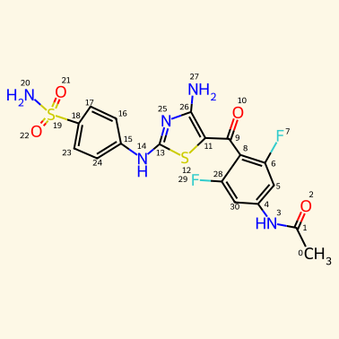 CC(=O)Nc1cc(F)c(C(=O)c2sc(Nc3ccc(S(N)(=O)=O)cc3)nc2N)c(F)c1